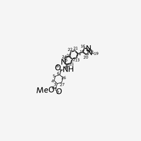 COC(=O)C1CCC(C(=O)Nc2cc3cc(-c4cnn(C)c4)ccc3cn2)CC1